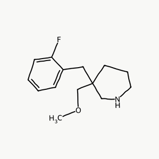 COCC1(Cc2ccccc2F)CCCNC1